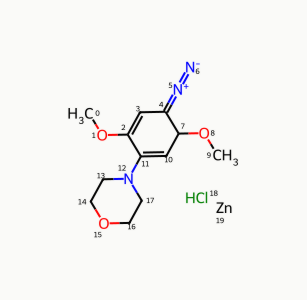 COC1=CC(=[N+]=[N-])C(OC)C=C1N1CCOCC1.Cl.[Zn]